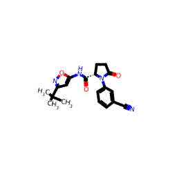 CC(C)(C)c1cc(NC(=O)[C@@H]2CCC(=O)N2c2cccc(C#N)c2)on1